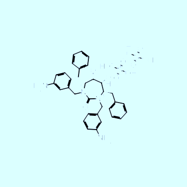 CS(=O)(=O)O.CS(=O)(=O)O.Nc1cccc(CN2C(=O)N(Cc3cccc(N)c3)[C@H](Cc3ccccc3)[C@H](O)[C@@H](O)[C@H]2Cc2ccccc2)c1